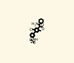 Cc1cc(-c2cccc(NS(C)(=O)=O)c2)c(Cl)cc1C1=C(N)C2(CCCCC2)OC1=O